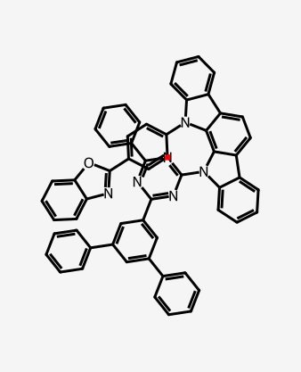 c1ccc(-c2cc(-c3ccccc3)cc(-c3nc(-c4ccccc4)nc(-n4c5ccccc5c5ccc6c7ccccc7n(-c7ccc(-c8nc9ccccc9o8)cc7)c6c54)n3)c2)cc1